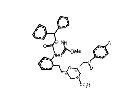 COC(=O)N[C@H](C(=O)Nc1ccccc1CC[C@@H]1CN(C(=O)O)C[C@@H](C[S+]([O-])c2ccc(Cl)cc2)O1)C(c1ccccc1)c1ccccc1